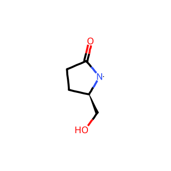 O=C1CC[C@H](CO)[N]1